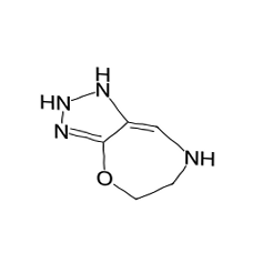 C1=C2NNN=C2OCCN1